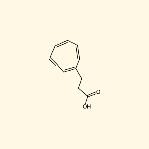 O=C(O)CCC1=C/C=C\C=C/C=C\1